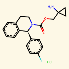 Cl.NC1(COC(=O)N2CCc3ccccc3[C@@H]2c2ccc(F)cc2)CC1